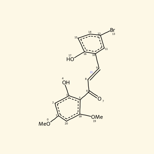 COc1cc(O)c(C(=O)/C=C/c2cc(Br)ccc2O)c(OC)c1